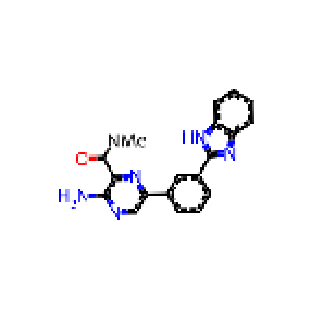 CNC(=O)c1nc(-c2cccc(-c3nc4ccccc4[nH]3)c2)cnc1N